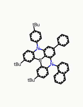 CC(C)(C)c1ccc(N2c3ccc(C(C)(C)C)cc3B3c4cc(C(C)(C)C)ccc4N(c4cccc5ccccc45)c4cc(-c5ccccc5)cc2c43)cc1